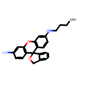 CSCCCNc1ccc2c(c1)Oc1cc(N)ccc1C21OCc2ccccc21